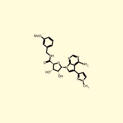 COc1cccc(CNC(=O)[C@H]2O[C@@H](n3cc(-c4ccn(C)n4)c4c(N)ncnc43)[C@H](O)[C@@H]2O)c1